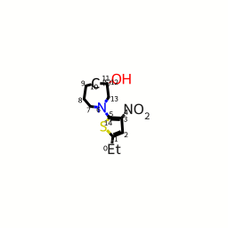 CCc1cc([N+](=O)[O-])c(N2CCCC[C@H](O)C2)s1